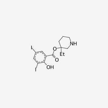 CCC1(OC(=O)c2cc(I)cc(I)c2O)CCCNC1